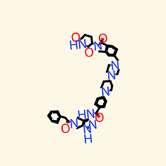 O=C1CCC(N2Cc3cc(CN4CCN(C5CCN(c6ccc(C(=O)Nc7n[nH]c8c7CN(C(=O)Cc7ccccc7)C8)cc6)CC5)CC4)ccc3C2=O)C(=O)N1